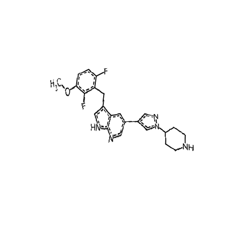 COc1ccc(F)c(Cc2c[nH]c3ncc(-c4cnn(C5CCNCC5)c4)cc23)c1F